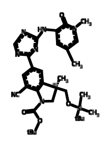 Cc1cc(Nc2ncnc(-c3cc(C#N)c4c(c3)[C@@](C)(CO[Si](C)(C)C(C)(C)C)CN4C(=O)OC(C)(C)C)n2)c(=O)n(C)c1